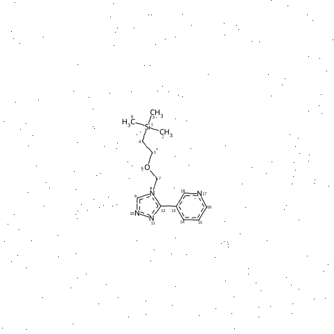 C[Si](C)(C)CCOCn1cnnc1-c1cccnc1